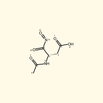 CC(=O)N[C@@H](CC(=O)O)C(=O)N=O